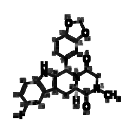 CN1CC(=O)N2[C@H](c3ccc4c(c3)OCO4)c3[nH]c4ccc(F)cc4c3C[C@@H]2C1=O